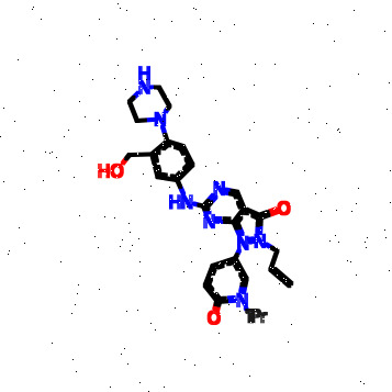 C=CCn1c(=O)c2cnc(Nc3ccc(N4CCNCC4)c(CO)c3)nc2n1-c1ccc(=O)n(C(C)C)c1